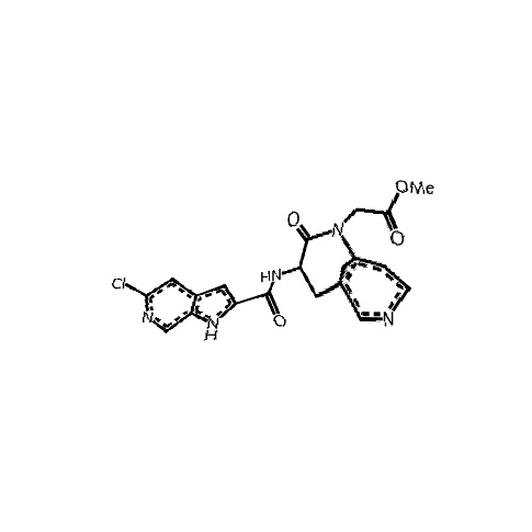 COC(=O)CN1C(=O)C(NC(=O)c2cc3cc(Cl)ncc3[nH]2)Cc2cnccc21